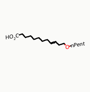 CCCCCOCCC=CCCCCCCCC(=O)O